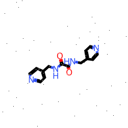 O=C(NCc1ccncc1)C(=O)NCc1ccncc1